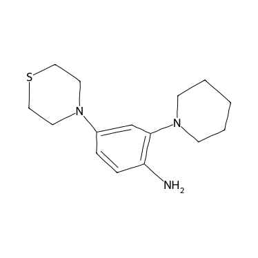 Nc1ccc(N2CCSCC2)cc1N1CCCCC1